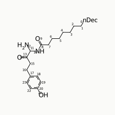 CCCCCCCCCCCCCCCCCC(=O)NC(N)C(=O)CCc1ccc(O)cc1